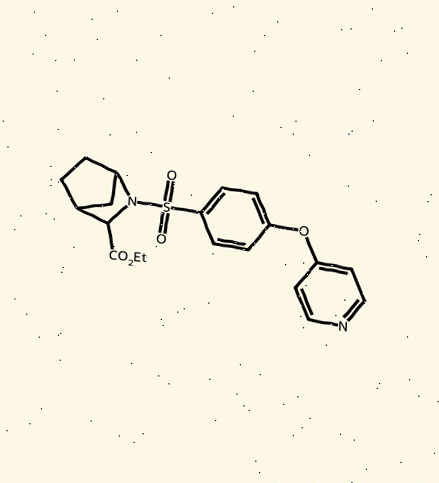 CCOC(=O)C1C2CCC(C2)N1S(=O)(=O)c1ccc(Oc2ccncc2)cc1